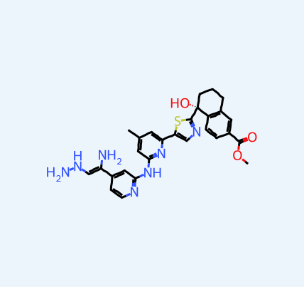 COC(=O)c1ccc2c(c1)CCC[C@]2(O)c1ncc(-c2cc(C)cc(Nc3cc(/C(N)=C/NN)ccn3)n2)s1